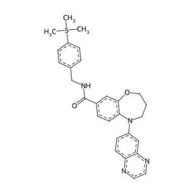 CS(C)(C)c1ccc(CNC(=O)c2ccc3c(c2)OCCCN3c2ccc3nccnc3c2)cc1